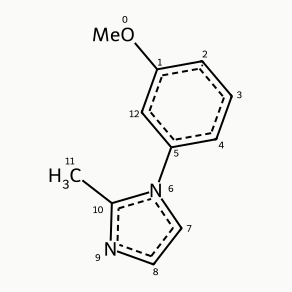 COc1[c]ccc(-n2ccnc2C)c1